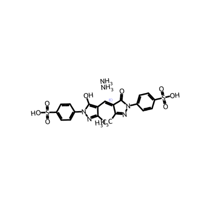 CC1=NN(c2ccc(S(=O)(=O)O)cc2)C(=O)/C1=C/c1c(C)nn(-c2ccc(S(=O)(=O)O)cc2)c1O.N.N